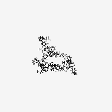 Cc1ncsc1-c1ccc([C@H](C)NC(=O)[C@@H]2CCCN2C(=O)C(NC(=O)CCCCCN2CCN(CC3(C)CCC(c4ccc(Cl)cc4)=C(CN4CCN(c5ccc(C(=O)NS(=O)(=O)c6ccc(N[C@H](CCN7CCOCC7)CSc7ccccc7)c(S(=O)(=O)C(F)(F)F)c6)cc5)CC4)C3)CC2)C(C)(C)C)cc1